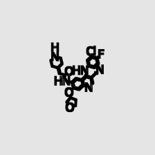 N#Cc1cnc2cc(OC3CCOC3)c(NC(=O)C=C3CCNCC3)cc2c1Nc1ccc(F)c(Cl)c1